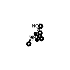 N#Cc1ccccc1Oc1ccc2c(c1)C1(c3ccccc3-2)c2ccccc2N(C(=O)OCc2ccccc2)c2ccccc21